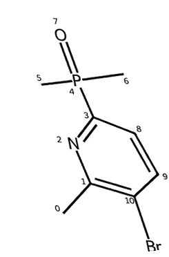 Cc1nc(P(C)(C)=O)ccc1Br